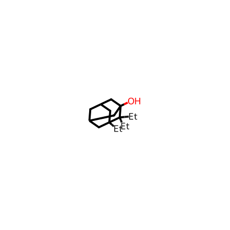 CCC12CC3CC(CC(O)(C3)C1(CC)CC)C2